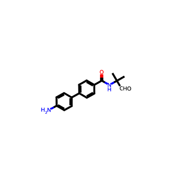 CC(C)(C=O)NC(=O)c1ccc(-c2ccc(N)cc2)cc1